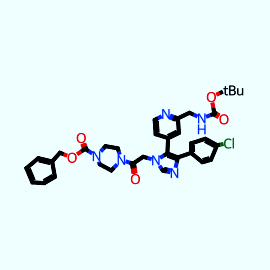 CC(C)(C)OC(=O)NCc1cc(-c2c(-c3ccc(Cl)cc3)ncn2CC(=O)N2CCN(C(=O)OCc3ccccc3)CC2)ccn1